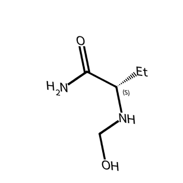 CC[C@H](NCO)C(N)=O